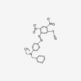 CCN(Cc1ccccc1)c1ccc(/N=N/c2cc(SC#N)c([N+](=O)[O-])cc2[N+](=O)[O-])cc1